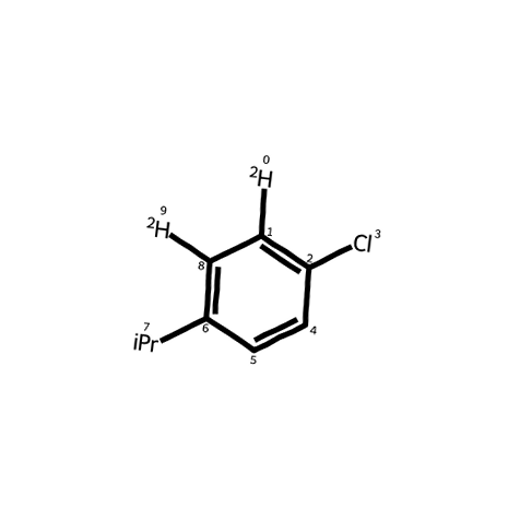 [2H]c1c(Cl)ccc(C(C)C)c1[2H]